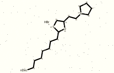 Br.CCCCCCCCCCCCCCCCCC1OC(CCN2CCCC2)CS1